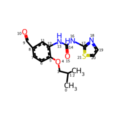 CC(C)COc1ccc(C=O)cc1NC(=O)Nc1nccs1